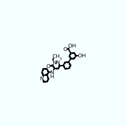 CCn1nc(-c2cccc(-c3cc(O)cc(C(=O)O)c3)c2)cc(Nc2cccc3ncccc23)c1=O